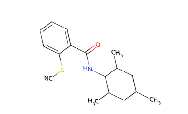 CC1CC(C)C(NC(=O)c2ccccc2SC#N)C(C)C1